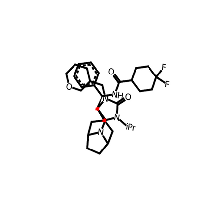 CC(C)N1C(=O)N(CC2CCCOC2)CC12CC1CCC(C2)N1CC[C@H](NC(=O)C1CCC(F)(F)CC1)c1ccccc1